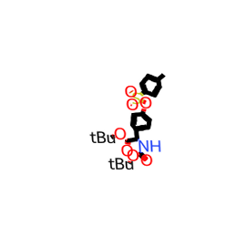 Cc1ccc(S(=O)(=O)Oc2ccc(C(NC(=O)OC(C)(C)C)C(=O)OC(C)(C)C)cc2)cc1